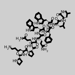 CC(C)C[C@H](NC(=O)[C@H](CC(C)C)NC(=O)[C@@H](Cc1c[nH]c2ccccc12)NC(=O)[C@H](Cc1ccccc1)NC(=O)[C@@H](Cc1c[nH]c2ccccc12)NC(=O)[C@H](CCC(N)=O)NC(=O)[C@H](CCC(N)=O)NC(=O)[C@@H]1CCCN1C(=O)[C@H](CCCCN)NC(=O)[C@@H]1CCCN1)C(N)=O